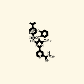 C=C(C)c1ccc(S(=O)(=O)Nc2nc(-c3ccnc(C(=N)NO)c3)nc(OC)c2Oc2ccccc2OC)nc1